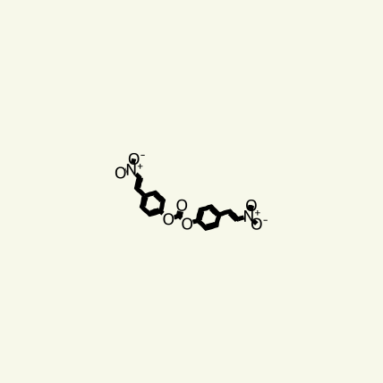 O=C(Oc1ccc(C=C[N+](=O)[O-])cc1)Oc1ccc(C=C[N+](=O)[O-])cc1